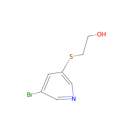 OCCSc1cncc(Br)c1